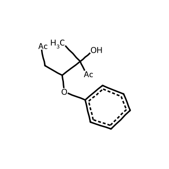 CC(=O)CC(Oc1ccccc1)C(C)(O)C(C)=O